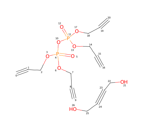 C#CCOP(=O)(OCC#C)OP(=O)(OCC#C)OCC#C.OCC#CCO